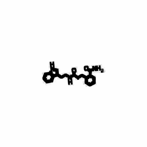 NC(=O)c1ccccc1C[CH]C(=O)NCCc1c[nH]c2ccccc12